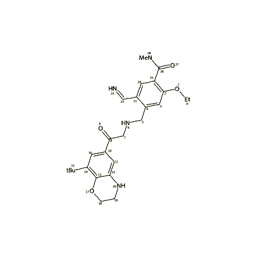 CCOc1cc(CNCC(=O)c2cc3c(c(C(C)(C)C)c2)OCCN3)c(C=N)cc1C(=O)NC